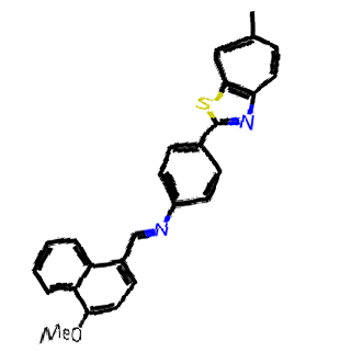 COc1ccc(C=Nc2ccc(-c3nc4ccc(C)cc4s3)cc2)c2ccccc12